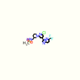 CS(=O)(=O)NCC1CCCN(c2cc(-c3cnc4ccc(C(F)F)nn34)cc(Cl)n2)C1